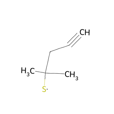 C#CCC(C)(C)[S]